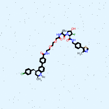 CC(=O)N1c2ccc(-c3ccc(C(=O)NCCOCCOCC(=O)NC(C(=O)N4C[C@H](O)[C@@H](F)[C@H]4C(=O)NCc4ccc(-c5scnc5C)cc4)C(C)(C)C)cc3)cc2[C@H](Cc2ccc(Cl)cc2)C[C@@H]1C